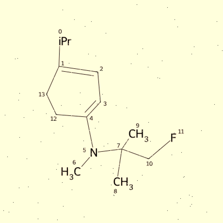 CC(C)C1=CC=C(N(C)C(C)(C)CF)CC1